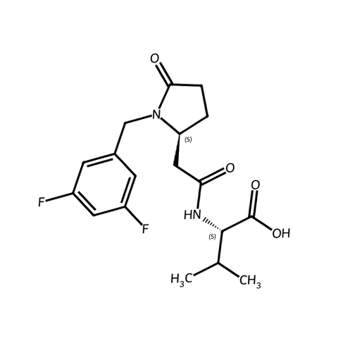 CC(C)[C@H](NC(=O)C[C@@H]1CCC(=O)N1Cc1cc(F)cc(F)c1)C(=O)O